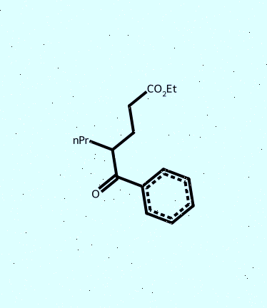 CCCC(CCC(=O)OCC)C(=O)c1ccccc1